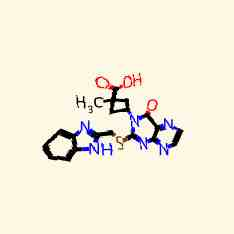 CC1(C(=O)O)CC(n2c(SCc3nc4ccccc4[nH]3)nc3nccnc3c2=O)C1